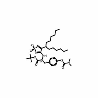 CCCCCCN(CCCCCC)C1=NS(=O)(=O)N=C1N[C@@H](Cc1ccc(OC(=O)N(C)C)cc1)C(=O)OC(C)(C)C